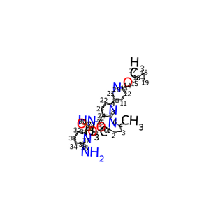 C[C@@H]1CC[C@H](C)N1c1nc(-c2ccc(OCC3(C)CC3)nc2)ccc1C(=O)NS(=O)(=O)c1cccc(N)n1